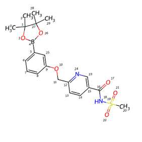 CC1(C)OB(c2cccc(OCc3ccc(C(=O)NS(C)(=O)=O)cn3)c2)OC1(C)C